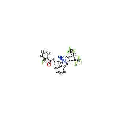 O=C(C=Cc1nnn(Cc2cc(C(F)(F)F)cc(C(F)(F)F)c2)c1-c1ccccc1)c1ccccc1F